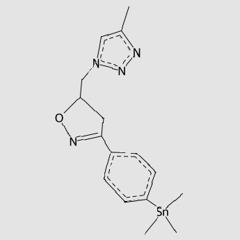 Cc1cn(CC2CC(c3cc[c]([Sn]([CH3])([CH3])[CH3])cc3)=NO2)nn1